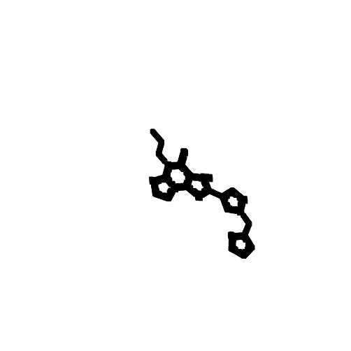 CCCn1c(=O)c2[nH]c(-c3cnn(Cc4ccco4)c3)nc2n2ccnc12